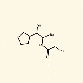 CCC(C)C(NC(=O)OC(C)(C)C)C(O)C1CCCC1